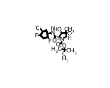 CC(C)(C)OC(=O)N1CC(C)(O)C(O)[C@H]1C(=O)Nc1cc(Cl)c(F)cc1F